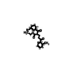 CCOC(=O)C(CCC(=O)c1ncccc1C)C(=O)c1cccc(Br)n1